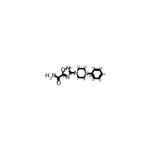 NC(=O)c1nc(N2CCN(c3ccccc3)CC2)no1